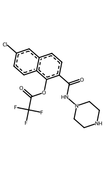 O=C(NN1CCNCC1)c1ccc2cc(Cl)ccc2c1OC(=O)C(F)(F)F